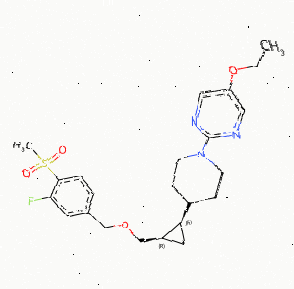 CCOc1cnc(N2CCC([C@H]3C[C@H]3COCc3ccc(S(C)(=O)=O)c(F)c3)CC2)nc1